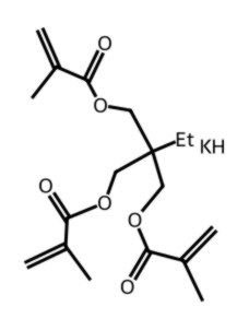 C=C(C)C(=O)OCC(CC)(COC(=O)C(=C)C)COC(=O)C(=C)C.[KH]